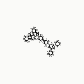 c1ccc(-c2cc(-c3ccc(-c4ccc(-c5nc6ccccc6c6c5ccc5c7ccccc7oc56)cc4)cc3)cc(-c3ccccc3)n2)cc1